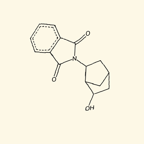 O=C1c2ccccc2C(=O)N1C1CC2CC(O)C1C2